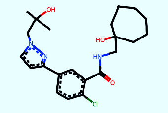 CC(C)(O)Cn1ccc(-c2ccc(Cl)c(C(=O)NCC3(O)CCCCCC3)c2)n1